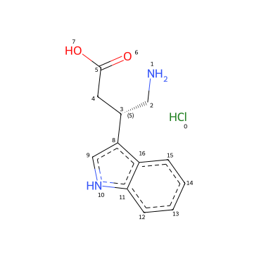 Cl.NC[C@@H](CC(=O)O)c1c[nH]c2ccccc12